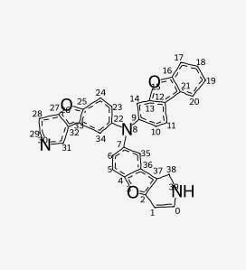 C1=Cc2oc3ccc(N(c4ccc5c(c4)oc4ccccc45)c4ccc5oc6ccncc6c5c4)cc3c2CN1